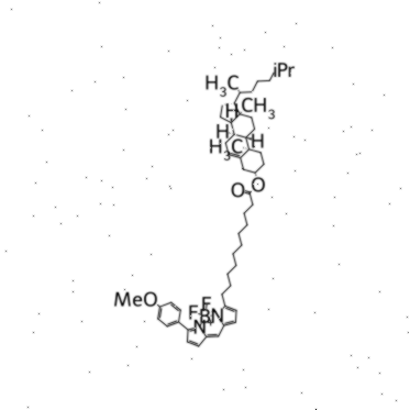 COc1ccc(C2=[N+]3C(=Cc4ccc(CCCCCCCCCCC(=O)O[C@H]5CC[C@@]6(C)C(=CC[C@H]7[C@@H]8CC[C@H]([C@H](C)CCCC(C)C)[C@@]8(C)CC[C@@H]76)C5)n4[B-]3(F)F)C=C2)cc1